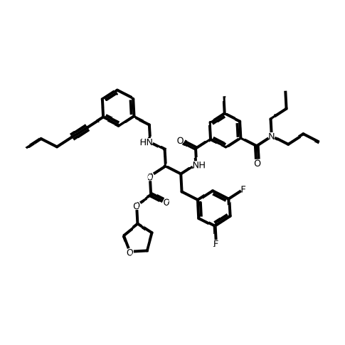 CCCC#Cc1cccc(CNCC(OC(=O)OC2CCOC2)C(Cc2cc(F)cc(F)c2)NC(=O)c2cc(C)cc(C(=O)N(CCC)CCC)c2)c1